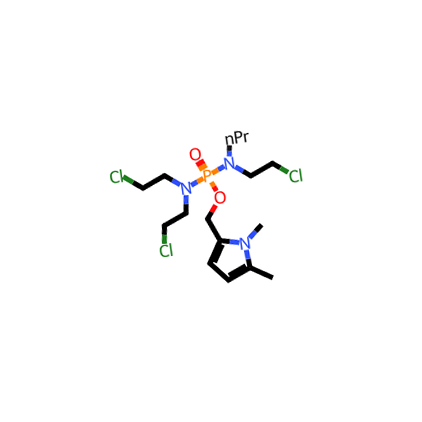 CCCN(CCCl)P(=O)(OCc1ccc(C)n1C)N(CCCl)CCCl